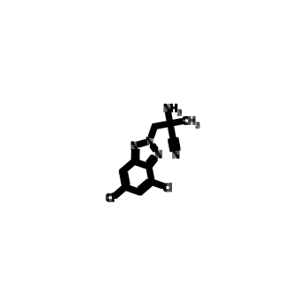 CC(N)(C#N)Cn1nc2cc(Cl)cc(Cl)c2n1